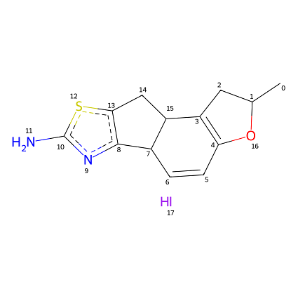 CC1CC2=C(C=CC3c4nc(N)sc4CC23)O1.I